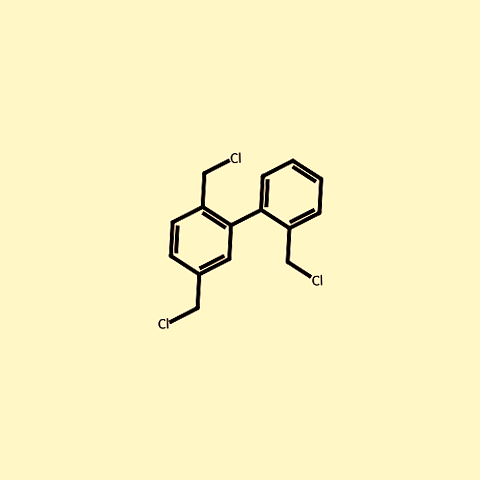 ClCc1ccc(CCl)c(-c2ccccc2CCl)c1